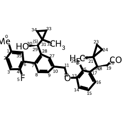 COc1ccc(F)c(-c2ccc(COc3cccc([C@H](CC(=O)O)C4(C)CC4)c3F)cc2[C@@H](O)C2(C)CC2)c1